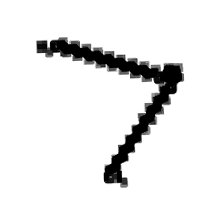 CCCCCCCCCCCCCCCCCCO[C@@H]1CCC[C@H]1OCCCCCCCCCCCCCCCCCC